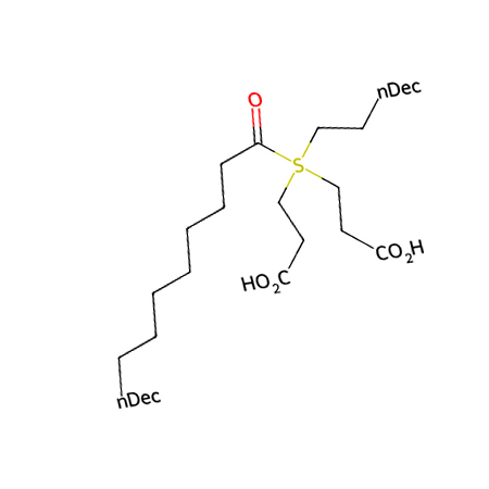 CCCCCCCCCCCCCCCCCC(=O)S(CCCCCCCCCCCC)(CCC(=O)O)CCC(=O)O